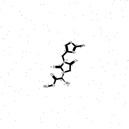 CC[C@H](C)[C@@H](C(=O)OC(C)(C)C)N1CC(=O)N(Cc2csc(C(C)C)n2)C1=O